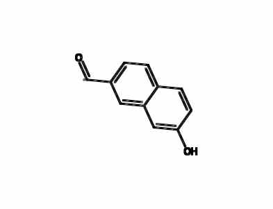 O=[C]c1ccc2ccc(O)cc2c1